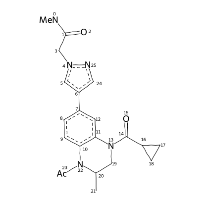 CNC(=O)Cn1cc(-c2ccc3c(c2)N(C(=O)C2CC2)CC(C)N3C(C)=O)cn1